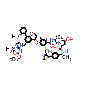 Cc1cc(F)ccc1-c1cc(Cn2ccn(C)c2=NC(=O)OC(C)(C)C)cc2c1OC[C@H](Cc1ccc(F)c(C(=O)N[C@H](C(=O)N3C[C@H](O)C[C@H]3C(=O)N[C@@H](C)c3ccc(-c4scnc4C)cc3)C(C)(C)C)c1)C2=O